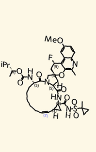 COc1ccc2nc(C)c3c(c2c1)[C@H](F)C[C@]1(C[C@H]2C(=O)N[C@]4(C(=O)NS(=O)(=O)C5(C)CC5)C[C@H]4/C=C\CCCCC[C@H](NC(=O)O[C@H](C)C(C)C)C(=O)N2C1)O3